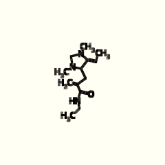 C=C(CC1/C(=C/C)N(C)CN1C)C(=O)NCC